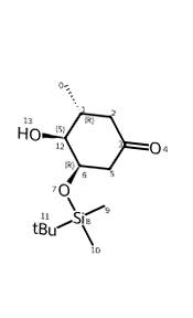 C[C@@H]1CC(=O)C[C@@H](O[Si](C)(C)C(C)(C)C)[C@H]1O